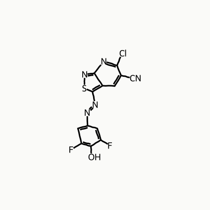 N#Cc1cc2c(/N=N/c3cc(F)c(O)c(F)c3)snc2nc1Cl